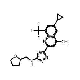 Cc1cc(-c2nnc(NCC3CCCO3)o2)nc2c(C(F)(F)F)cc(C3CC3)cc12